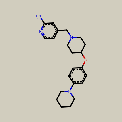 Nc1cc(CN2CCC(Oc3ccc(N4CCCCC4)cc3)CC2)ccn1